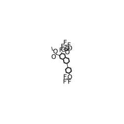 CCOC(=O)c1cc2cc(-c3ccc(OC(F)(F)F)cc3)ccc2c(OS(=O)(=O)C(F)(F)F)c1F